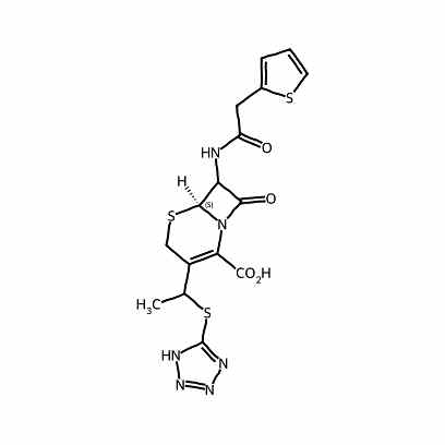 CC(Sc1nnn[nH]1)C1=C(C(=O)O)N2C(=O)C(NC(=O)Cc3cccs3)[C@@H]2SC1